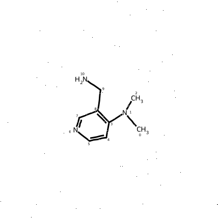 CN(C)c1ccncc1CN